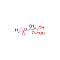 CC(=O)OC[C@H](C)C1CC(O)C(O)CO1